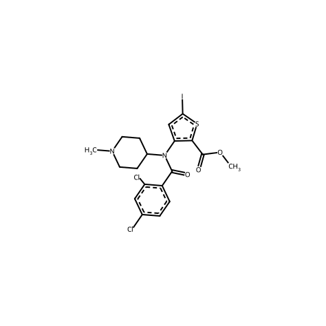 COC(=O)c1sc(I)cc1N(C(=O)c1ccc(Cl)cc1Cl)C1CCN(C)CC1